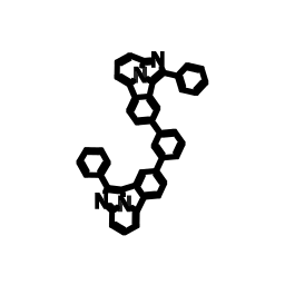 c1ccc(-c2nc3cccc4c5ccc(-c6cccc(-c7ccc8c(c7)c7c(-c9ccccc9)nc9cccc8n97)c6)cc5c2n34)cc1